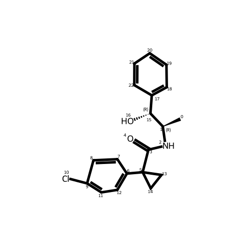 C[C@@H](NC(=O)C1(c2ccc(Cl)cc2)CC1)[C@H](O)c1ccccc1